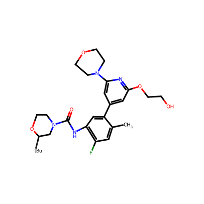 Cc1cc(F)c(NC(=O)N2CCOC(C(C)(C)C)C2)cc1-c1cc(OCCO)nc(N2CCOCC2)c1